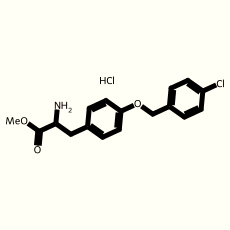 COC(=O)C(N)Cc1ccc(OCc2ccc(Cl)cc2)cc1.Cl